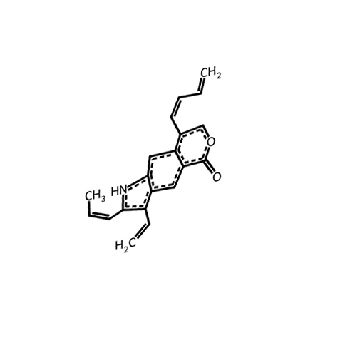 C=C/C=C\c1coc(=O)c2cc3c(C=C)c(/C=C\C)[nH]c3cc12